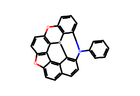 c1ccc(N2c3cccc4c3B3c5c2ccc2ccc6oc7ccc(c3c7c6c52)O4)cc1